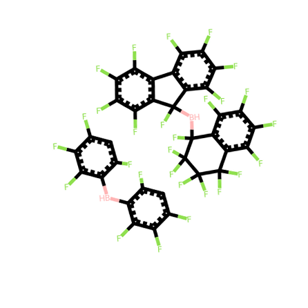 Fc1c(F)c(F)c2c(c1F)-c1c(F)c(F)c(F)c(F)c1C2(F)BC1(F)c2c(F)c(F)c(F)c(F)c2C(F)(F)C(F)(F)C1(F)F.Fc1cc(F)c(Bc2c(F)cc(F)c(F)c2F)c(F)c1F